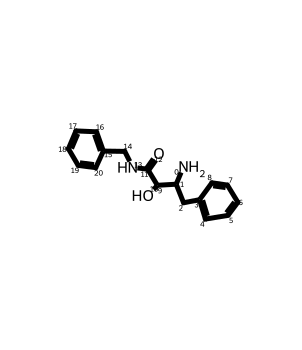 NC(Cc1ccccc1)C(O)C(=O)NCc1ccccc1